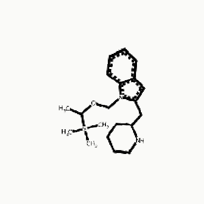 CC(OCn1c(CC2CCCCN2)cc2ccccc21)[Si](C)(C)C